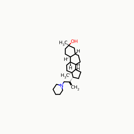 C=C(CN1CCCCC1)[C@H]1CC[C@H]2[C@@H]3CC[C@H]4C[C@](C)(O)CC[C@@H]4[C@H]3CC[C@]12C